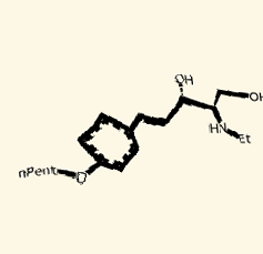 CCCCCOc1ccc(/C=C/[C@H](O)[C@@H](CO)NCC)cc1